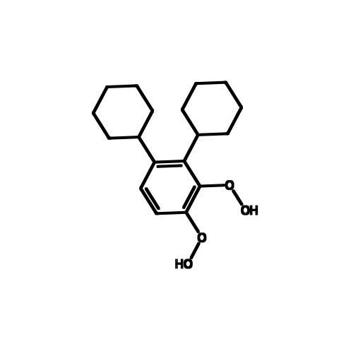 OOc1ccc(C2CCCCC2)c(C2CCCCC2)c1OO